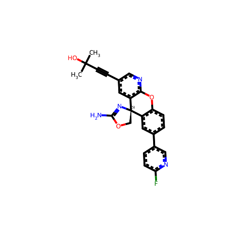 CC(C)(O)C#Cc1cnc2c(c1)[C@]1(COC(N)=N1)c1cc(-c3ccc(F)nc3)ccc1O2